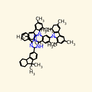 CC1=Cc2c(n(-c3cc(-n4c5c(C)cc(C)cc5c5cc(C)cc(C)c54)c(C4NC(C5=CC=CCC5)=NC(c5ccc6c(c5)C5CC=CCC5C6(C)C)N4)cc3C#N)c3c(C)cc(C)cc23)C(C)C1